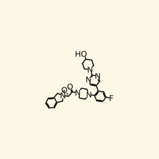 O=C(C[N+]1([O-])Cc2ccccc2C1)N1CCN(c2ccc(F)cc2-c2cnc(N3CCC(O)CC3)nc2)CC1